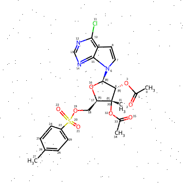 CC(=O)O[C@H]1[C@H](n2ccc3c(Cl)ncnc32)O[C@H](COS(=O)(=O)c2ccc(C)cc2)[C@@]1(C)OC(C)=O